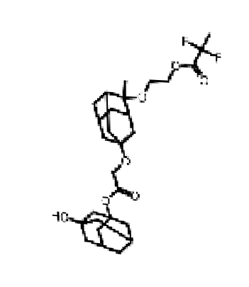 CC(F)(F)C(=O)OCCOC1(C)C2CC3CC1CC(OCC(=O)OC14CC5CC(CC(O)(C5)C1)C4)(C3)C2